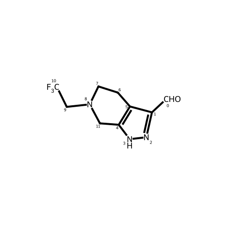 O=Cc1n[nH]c2c1CCN(CC(F)(F)F)C2